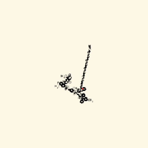 CC[C@@]1(O)C(=O)OCc2c1cc1n(c2=O)Cc2c-1nc1cc(F)c(C)c3c1c2[C@@H](NC(=O)OCc1ccc(NC(=O)[C@H](CCCCNC(c2ccccc2)(c2ccccc2)c2ccc(C)cc2)NC(=O)[C@H](Cc2ccccc2)NC(=O)CCOCCOCCOCCOCCOCCOCCOCCOCCOCCN=[N+]=[N-])c(C)c1)CC3